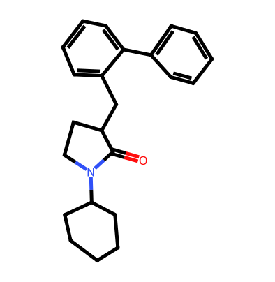 O=C1C(Cc2ccccc2-c2ccccc2)CCN1C1CCCCC1